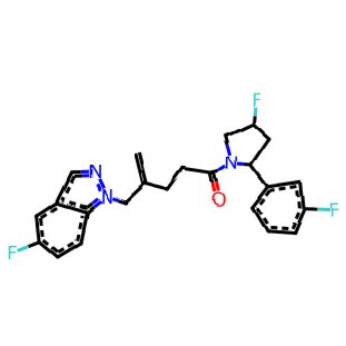 C=C(CCC(=O)N1CC(F)CC1c1cccc(F)c1)Cn1ncc2cc(F)ccc21